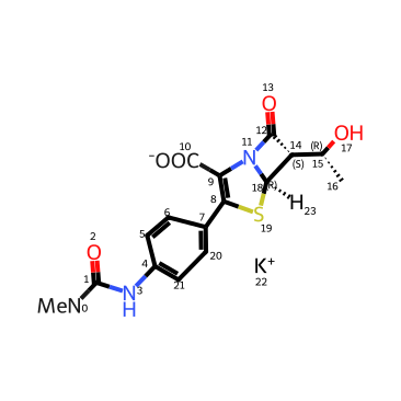 CNC(=O)Nc1ccc(C2=C(C(=O)[O-])N3C(=O)[C@H]([C@@H](C)O)[C@H]3S2)cc1.[K+]